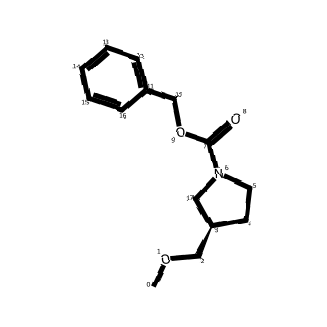 COC[C@@H]1CCN(C(=O)OCc2ccccc2)C1